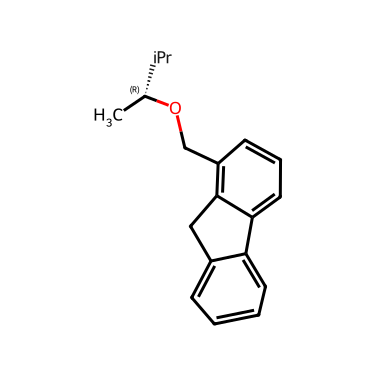 CC(C)[C@@H](C)OCc1cccc2c1Cc1ccccc1-2